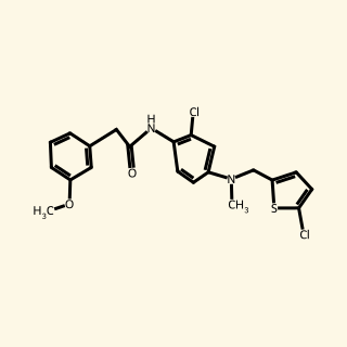 COc1cccc(CC(=O)Nc2ccc(N(C)Cc3ccc(Cl)s3)cc2Cl)c1